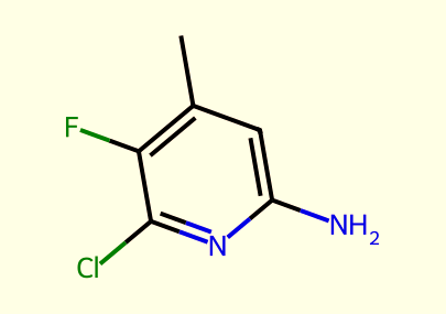 Cc1cc(N)nc(Cl)c1F